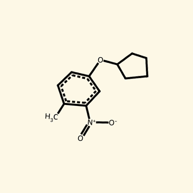 Cc1ccc(OC2CCCC2)cc1[N+](=O)[O-]